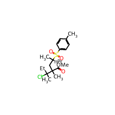 CCCC(C)(CC(C)(C(=O)OC)C(C)(Cl)CC)S(=O)(=O)c1ccc(C)cc1